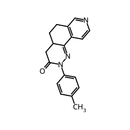 Cc1ccc(N2N=C3c4ccncc4CCC3CC2=O)cc1